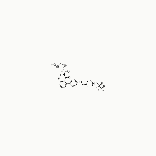 O=C(NC(=O)[C@@H]1C[C@@H](O)CN1)c1c(F)cccc1-c1ccc(OCC2CCN(CC(F)(F)C(F)(F)F)CC2)cc1